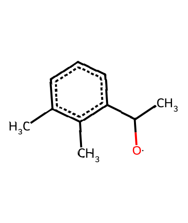 Cc1cccc(C(C)[O])c1C